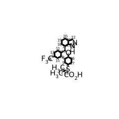 CC(C)(Sc1ccc(OC(c2ccc(C(F)(F)F)cc2)c2cccc3cn[nH]c23)cc1)C(=O)O